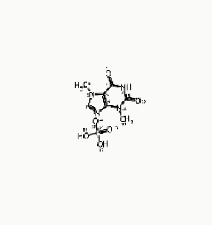 Cn1cnc2c1c(=O)[nH]c(=O)n2C.O=P(O)(O)O